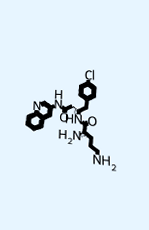 NCCC[C@H](N)C(=O)N[C@H](CC(=O)Nc1cnc2ccccc2c1)Cc1ccc(Cl)cc1